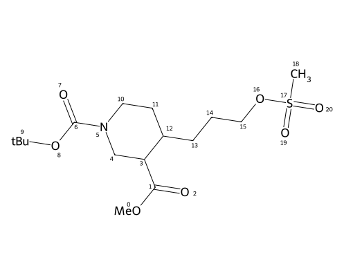 COC(=O)C1CN(C(=O)OC(C)(C)C)CCC1CCCOS(C)(=O)=O